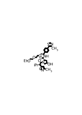 [CH2]COCCOCCOC[C@H](NC(=O)[C@@H]1C[C@@H](O)CN1C(=O)[C@@H](c1cc(C)no1)C(C)C)c1ccc(-c2scnc2C)cc1